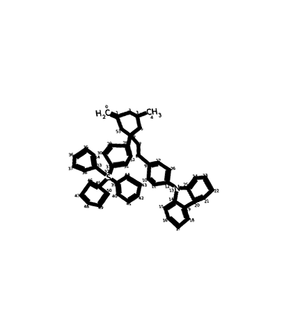 C=C1CC(C)CC(CCc2ccc(-n3c4ccccc4c4ccccc43)cc2)(c2ccc(S(c3ccccc3)(c3ccccc3)c3ccccc3)cc2)C1